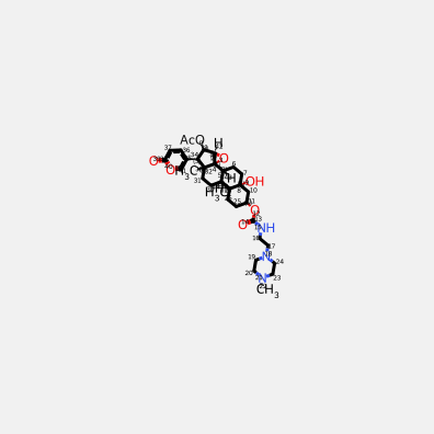 CC(=O)O[C@H]1[C@H]2O[C@]23[C@@H]2CC[C@]4(O)C[C@@H](OC(=O)NCCN5CCN(C)CC5)CC[C@]4(C)[C@H]2CC[C@]3(C)[C@H]1c1ccc(=O)oc1